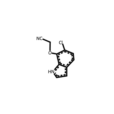 N#CCOc1c(Cl)ccc2cc[nH]c12